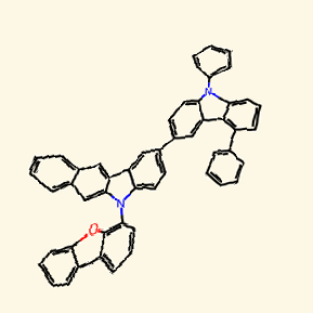 c1ccc(-c2cccc3c2c2cc(-c4ccc5c(c4)c4cc6ccccc6cc4n5-c4cccc5c4oc4ccccc45)ccc2n3-c2ccccc2)cc1